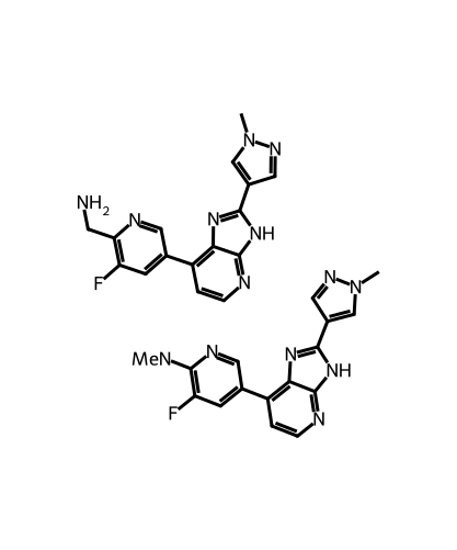 CNc1ncc(-c2ccnc3[nH]c(-c4cnn(C)c4)nc23)cc1F.Cn1cc(-c2nc3c(-c4cnc(CN)c(F)c4)ccnc3[nH]2)cn1